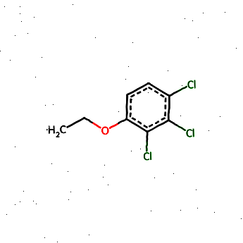 [CH2]COc1ccc(Cl)c(Cl)c1Cl